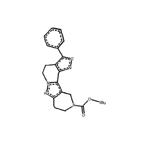 CC(C)(C)OC(=O)N1CCc2nn3c(c2C1)-c1noc(-c2ccccc2)c1CC3